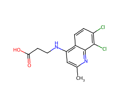 Cc1cc(NCCC(=O)O)c2ccc(Cl)c(Cl)c2n1